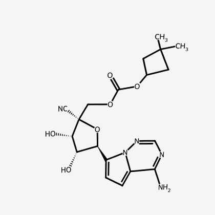 CC1(C)CC(OC(=O)OC[C@@]2(C#N)O[C@@H](c3ccc4c(N)ncnn34)[C@H](O)[C@@H]2O)C1